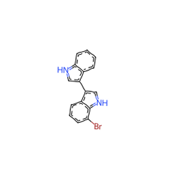 Brc1cccc2c(-c3c[nH]c4ccccc34)c[nH]c12